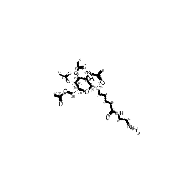 CC(=O)N[C@H]1[C@H](OCCCCC(=O)NCCN)O[C@H](COC(C)=O)[C@H](OC(C)=O)[C@@H]1OC(C)=O